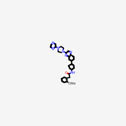 COc1ccccc1CC(=O)Nc1ccc(-c2ccc3ncc(N4CCN(c5cnccn5)CC4)nc3c2)cc1